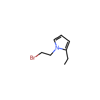 CCc1cccn1CCBr